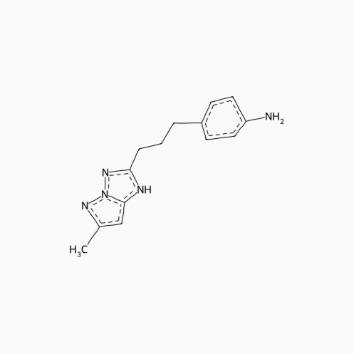 Cc1cc2[nH]c(CCCc3ccc(N)cc3)nn2n1